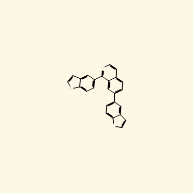 c1cc2ccc(-c3ccc4[nH]ccc4c3)cc2c(-c2ccc3[nH]ccc3c2)n1